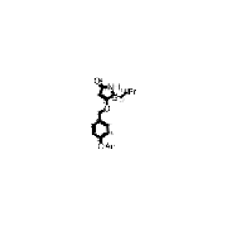 CC(=O)Oc1ccc(COC2=CC(=O)N[C@H]2CC(C)C)cc1